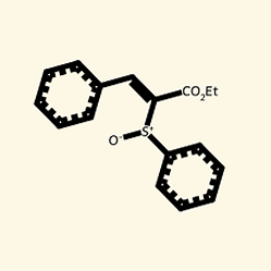 CCOC(=O)C(=Cc1ccccc1)[S+]([O-])c1ccccc1